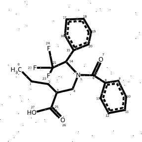 CCCC(CN(C(=O)c1ccccc1)C(c1ccccc1)C(F)(F)F)C(=O)O